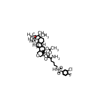 CC(=O)O[C@@H]1C[C@@]23COC[C@](C)([C@@H]2CC[C@H]2C3=CC[C@@]3(C)[C@H](C(=O)O)[C@@](C)([C@H](C)C(C)C)CC[C@]23C)[C@H]1OC(=O)C(N)CCCCNS(=O)(=O)c1ccc(F)c(Cl)c1